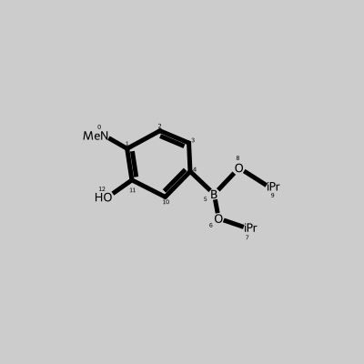 CNc1ccc(B(OC(C)C)OC(C)C)cc1O